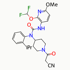 COc1ccc(NC(=O)N(c2ccccc2C(C)C)C2CCN(C(=O)CC#N)CC2)c(OC(F)F)n1